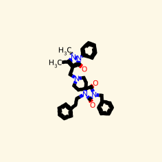 Cc1c(CN2CCC3(CC2)C(=O)N(Cc2ccccc2)C(=O)N3CCc2ccccc2)c(=O)n(-c2ccccc2)n1C